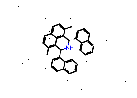 Cc1ccc2ccc(C)c3c2c1[C@H](c1cccc2ccccc12)N[C@H]3c1cccc2ccccc12